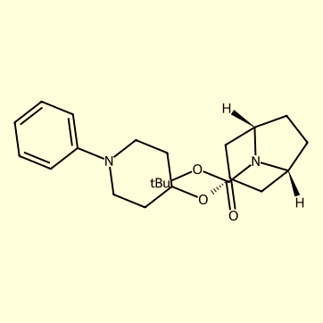 CC(C)(C)OC(=O)N1[C@@H]2CC[C@H]1C[C@@H](OC1CCN(c3ccccc3)CC1)C2